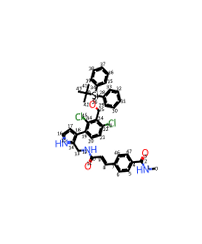 CNC(=O)c1ccc(C=CC(=O)NCc2[nH]ccc2-c2ccc(Cl)c(CO[Si](c3ccccc3)(c3ccccc3)C(C)(C)C)c2Cl)cc1